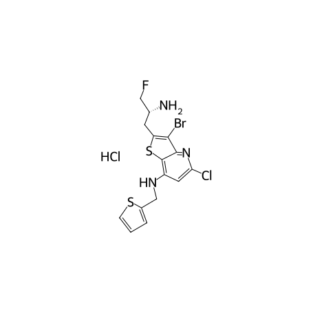 Cl.N[C@@H](CF)Cc1sc2c(NCc3cccs3)cc(Cl)nc2c1Br